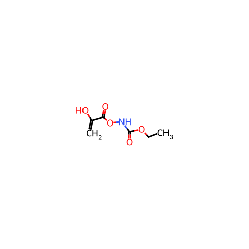 C=C(O)C(=O)ONC(=O)OCC